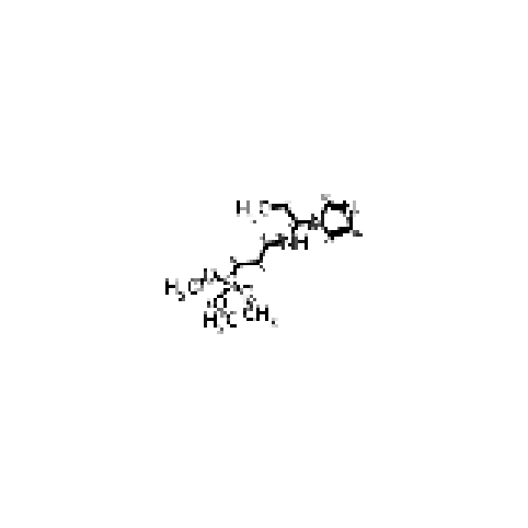 CCC(NCCC[Si](OC)(OC)OC)n1ccnc1